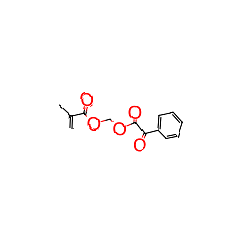 C=C(C)C(=O)OCOC(=O)C(=O)c1ccccc1